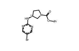 CC(C)OC(=O)N1CC[C@H](Nc2ncc(Br)cn2)C1